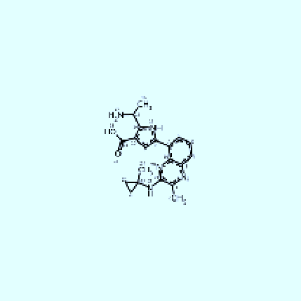 Cc1nc2cccc(-c3cc(C(=O)O)c(C(C)N)[nH]3)c2nc1NC1(C)CC1